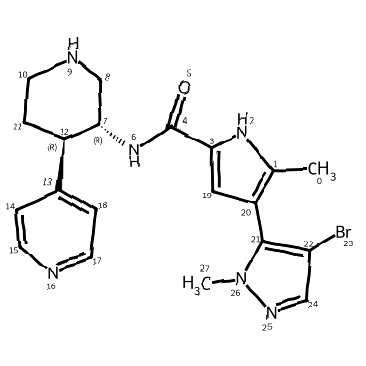 Cc1[nH]c(C(=O)N[C@H]2CNCC[C@@H]2c2ccncc2)cc1-c1c(Br)cnn1C